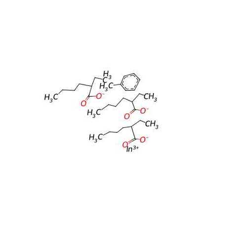 CCCCC(CC)C(=O)[O-].CCCCC(CC)C(=O)[O-].CCCCC(CC)C(=O)[O-].Cc1ccccc1.[In+3]